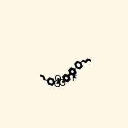 CCCC[C@H]1CC[C@H](c2ccc(-c3ccc(OC(=O)O[C@H]4CC[C@H](CCC)CC4)cc3)c(F)c2)CC1